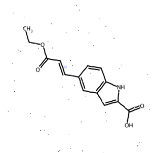 CCOC(=O)/C=C/c1ccc2[nH]c(C(=O)O)cc2c1